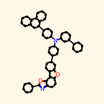 c1ccc(-c2cccc(N(c3ccc(-c4ccc5c(c4)oc4ccc6nc(-c7ccccc7)oc6c45)cc3)c3ccc(-c4cc5ccccc5c5ccccc45)cc3)c2)cc1